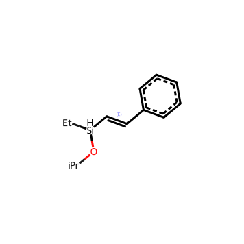 CC[SiH](/C=C/c1ccccc1)OC(C)C